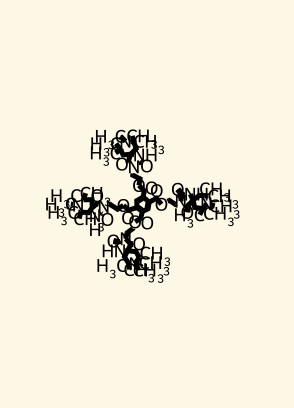 CN1C(C)(C)CC2(CC1(C)C)NC(=O)N(CCOC(=O)c1cc(C(=O)OCCN3C(=O)NC4(CC(C)(C)N(C)C(C)(C)C4)C3=O)c(C(=O)OCCN3C(=O)NC4(CC(C)(C)N(C)C(C)(C)C4)C3=O)cc1C(=O)OCCN1C(=O)NC3(CC(C)(C)N(C)C(C)(C)C3)C1=O)C2=O